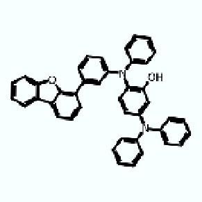 Oc1cc(N(c2ccccc2)c2ccccc2)ccc1N(c1ccccc1)c1cccc(-c2cccc3c2oc2ccccc23)c1